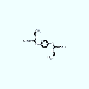 C=COC(CCCCC)Oc1ccc(OC(CCCCC)OC=C)nc1